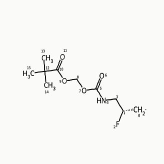 [CH2][C@H](F)CNC(=O)OCOC(=O)C(C)(C)C